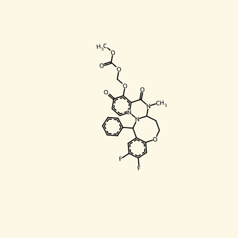 COC(=O)OCOc1c2n(ccc1=O)N1C(c3ccccc3)c3cc(F)c(F)cc3OCCC1N(C)C2=O